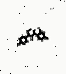 C=C(N/C(=N\C)c1ccc(F)nc1)c1ccc(C)cc1C